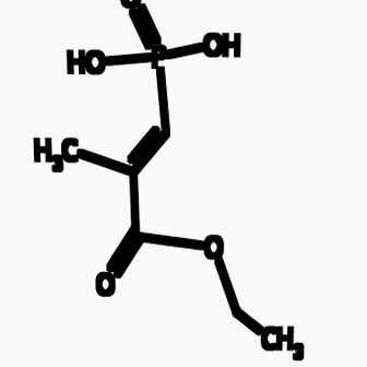 CCOC(=O)C(C)=CP(=O)(O)O